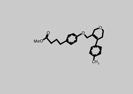 COC(=O)CCCc1ccc(OCC2=C(c3ccc(C)cc3)CCOC2)cc1